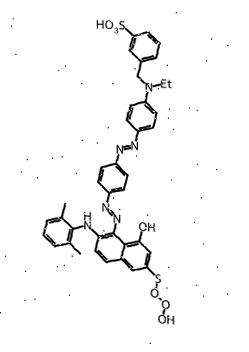 CCN(Cc1cccc(S(=O)(=O)O)c1)c1ccc(/N=N/c2ccc(/N=N/c3c(Nc4c(C)cccc4C)ccc4cc(SOOO)cc(O)c34)cc2)cc1